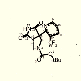 CC(C)(C)OC(=O)NCC1(c2ncccc2C(F)(F)F)NC(=O)NC1=O